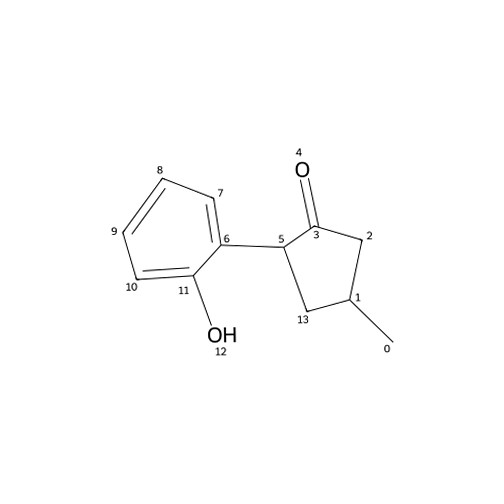 CC1CC(=O)C(c2ccccc2O)C1